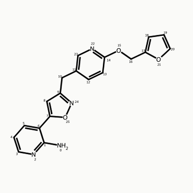 Nc1ncccc1-c1cc(Cc2ccc(OCc3ccco3)nc2)no1